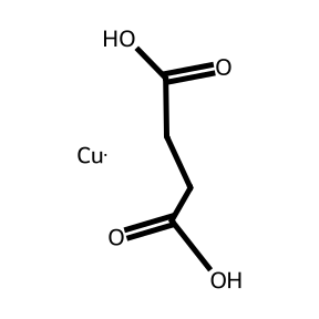 O=C(O)CCC(=O)O.[Cu]